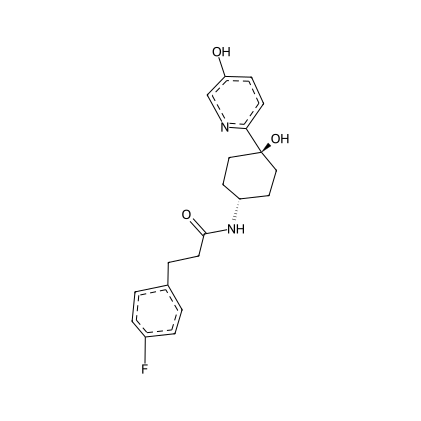 O=C(CCc1ccc(F)cc1)N[C@H]1CC[C@@](O)(c2ccc(O)cn2)CC1